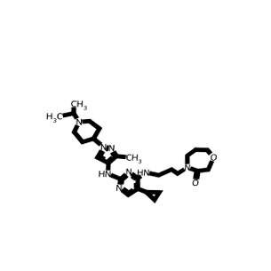 Cc1nn(C2CCN(C(C)C)CC2)cc1Nc1ncc(C2CC2)c(NCCCN2CCCOCC2=O)n1